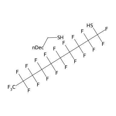 CCCCCCCCCCCS.FC(F)(F)C(F)(F)C(F)(F)C(F)(F)C(F)(F)C(F)(F)C(F)(F)C(F)(F)C(F)(F)C(F)(F)S